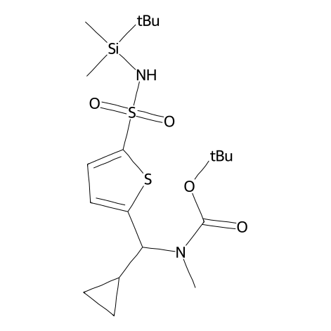 CN(C(=O)OC(C)(C)C)C(c1ccc(S(=O)(=O)N[Si](C)(C)C(C)(C)C)s1)C1CC1